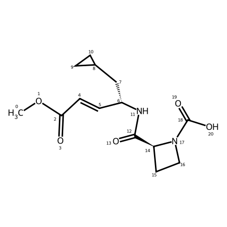 COC(=O)/C=C/[C@H](CC1CC1)NC(=O)[C@@H]1CCN1C(=O)O